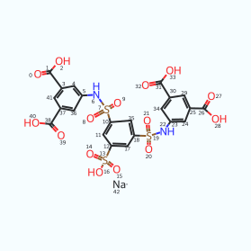 O=C(O)c1cc(NS(=O)(=O)c2cc(S(=O)(=O)O)cc(S(=O)(=O)Nc3cc(C(=O)O)cc(C(=O)O)c3)c2)cc(C(=O)O)c1.[Na]